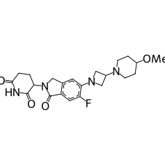 COC1CCN(C2CN(c3cc4c(cc3F)C(=O)N(C3CCC(=O)NC3=O)C4)C2)CC1